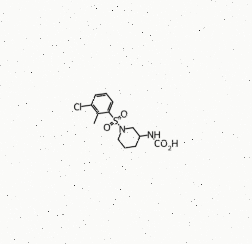 Cc1c(Cl)cccc1S(=O)(=O)N1CCCC(NC(=O)O)C1